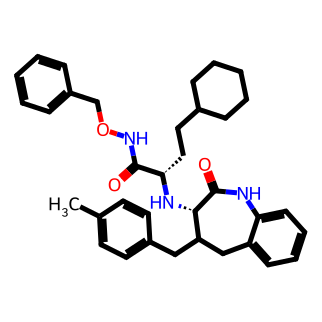 Cc1ccc(CC2Cc3ccccc3NC(=O)[C@H]2N[C@@H](CCC2CCCCC2)C(=O)NOCc2ccccc2)cc1